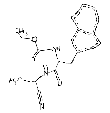 CCOC(=O)NC(Cc1ccc2ccccc2c1)C(=O)NC(C)C#N